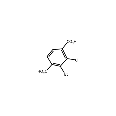 CCc1c(C(=O)O)ccc(C(=O)O)c1Cl